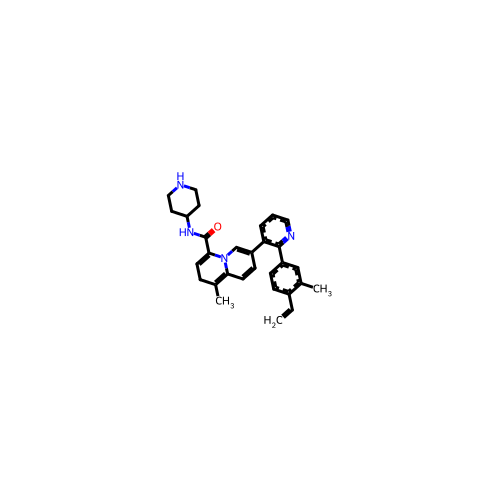 C=Cc1ccc(-c2ncccc2C2=CN3C(C(=O)NC4CCNCC4)=CCC(C)=C3C=C2)cc1C